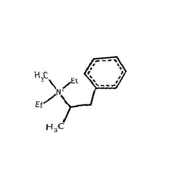 CC[N+](C)(CC)C(C)Cc1ccccc1